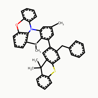 CB1c2cccc3c2N(c2ccccc2O3)c2cc(C)cc(-c3cc4c(cc3Cc3ccccc3)Sc3ccccc3C4(C)C)c21